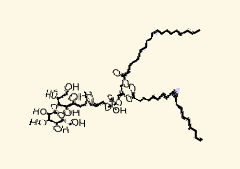 CCCCCCCC/C=C\CCCCCCCC(=O)OC[C@H](COP(=O)(O)OCCNCC(O)C(O)[C@H](O[C@@H]1O[C@H](CO)C(O)C(O)C1O)C(O)CO)OC(=O)CCCCCCC/C=C\CCCCCCCC